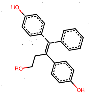 OCCC(=C(c1ccccc1)c1ccc(O)cc1)c1ccc(O)cc1